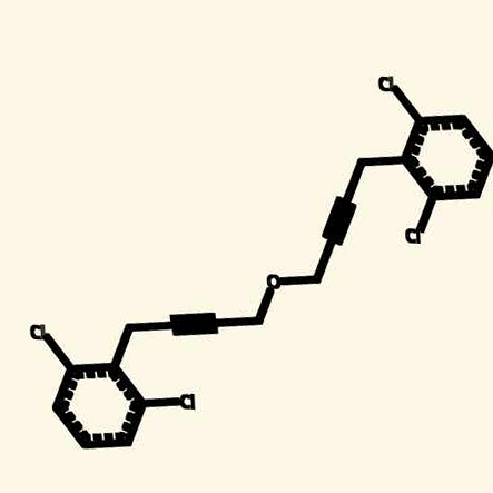 Clc1cccc(Cl)c1CC#CCOCC#CCc1c(Cl)cccc1Cl